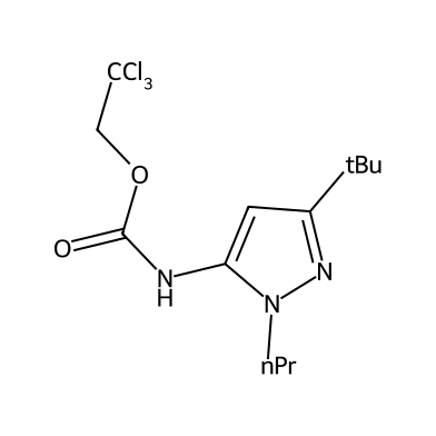 CCCn1nc(C(C)(C)C)cc1NC(=O)OCC(Cl)(Cl)Cl